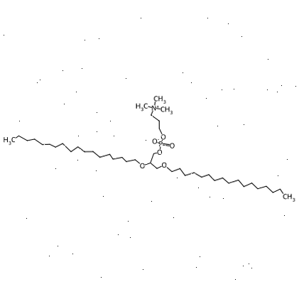 CCCCCCCCCCCCCCCCCCOC(COCCCCCCCCCCCCCCCCC)COP(=O)([O-])OCCC[N+](C)(C)C